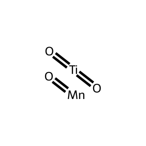 [O]=[Mn].[O]=[Ti]=[O]